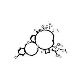 CON(C)C[C@]1(OC)/C=C/C[C@H](C)[C@@H](C)S(=O)(=O)NC(=O)c2ccc3c(c2)N(CCCCc2cc(Cl)ccc2CO3)C[C@@H]2CC[C@H]21